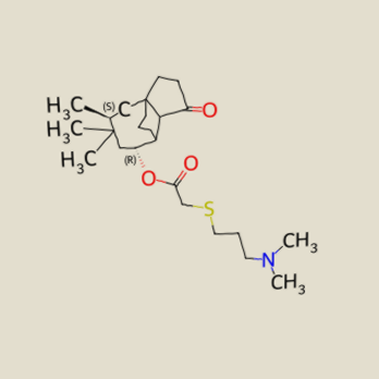 C[C@H]1CC23CCCC(C2C(=O)CC3)[C@H](OC(=O)CSCCCN(C)C)CC1(C)C